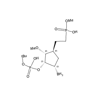 B[C@H]1C[C@H](CCP(=O)(O)OC)[C@@H](OC)[C@H]1OP(=O)(O)OC(C)(C)C